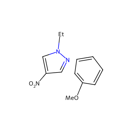 CCn1cc([N+](=O)[O-])cn1.COc1ccccc1